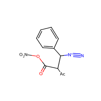 CC(=O)C(C(=O)O[N+](=O)[O-])C([N+]#N)c1ccccc1